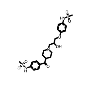 CS(=O)(=O)Nc1ccc(OCC(O)CN2CCC(C(=O)c3ccc(NS(C)(=O)=O)cc3)CC2)cc1